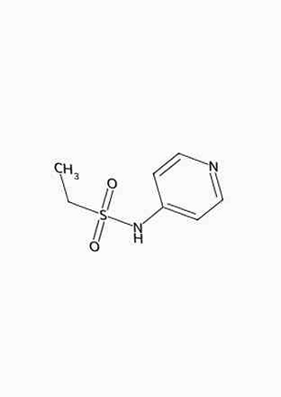 CCS(=O)(=O)Nc1ccncc1